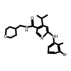 Cc1c(Br)cccc1Nc1cc(C(C)C)c(C(=O)NCC2CCOCC2)cn1